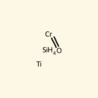 [O]=[Cr].[SiH4].[Ti]